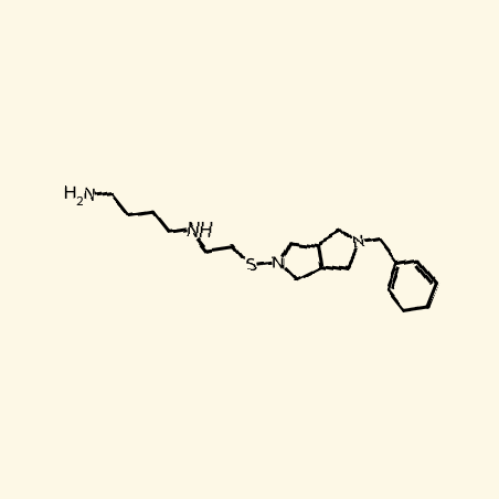 NCCCCNCCSN1CC2CN(CC3=CCCC=C3)CC2C1